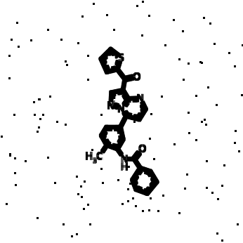 Cc1ccc(-c2ccnc3c(C(=O)c4cccs4)cnn23)cc1NC(=O)c1ccccc1